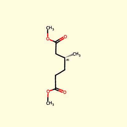 COC(=O)CC[C@@H](C)CC(=O)OC